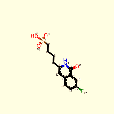 O=c1[nH]c(CCCCS(=O)(=O)O)cc2ccc(F)cc12